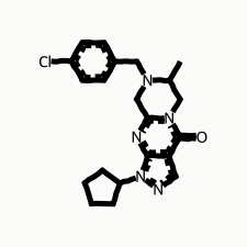 CC1Cn2c(nc3c(cnn3C3CCCC3)c2=O)CN1Cc1ccc(Cl)cc1